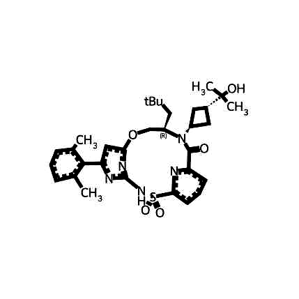 Cc1cccc(C)c1-c1cc2nc(n1)NS(=O)(=O)c1cccc(n1)C(=O)N([C@H]1C[C@@H](C(C)(C)O)C1)[C@H](CC(C)(C)C)CO2